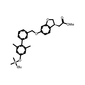 COC(=O)C[C@@H]1COc2cc(OCc3cccc(-c4c(C)cc(O[Si](C)(C)C(C)(C)C)cc4C)c3)ccc21